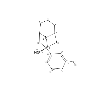 CC(C)CN1C2CCCC1CC(C#N)(c1cncc(Cl)c1)C2